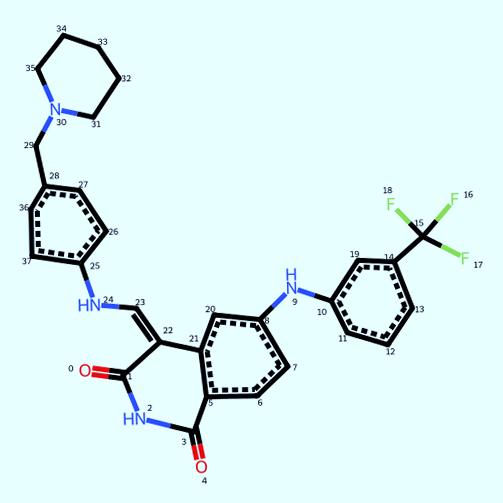 O=C1NC(=O)c2ccc(Nc3cccc(C(F)(F)F)c3)cc2C1=CNc1ccc(CN2CCCCC2)cc1